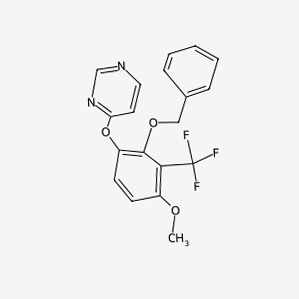 COc1ccc(Oc2ccncn2)c(OCc2ccccc2)c1C(F)(F)F